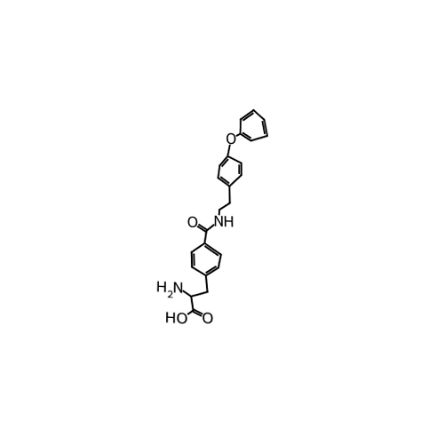 NC(Cc1ccc(C(=O)NCCc2ccc(Oc3ccccc3)cc2)cc1)C(=O)O